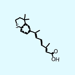 CC(/C=C/C=C(\C)c1ccc2c(c1)C(C)(C)CCS2)=C\C(=O)O